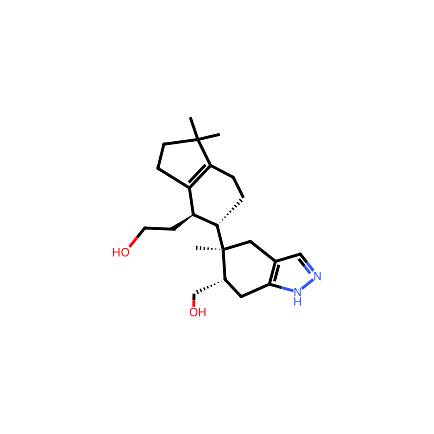 CC1(C)CCC2=C1CC[C@H]([C@@]1(C)Cc3cn[nH]c3C[C@@H]1CO)[C@H]2CCO